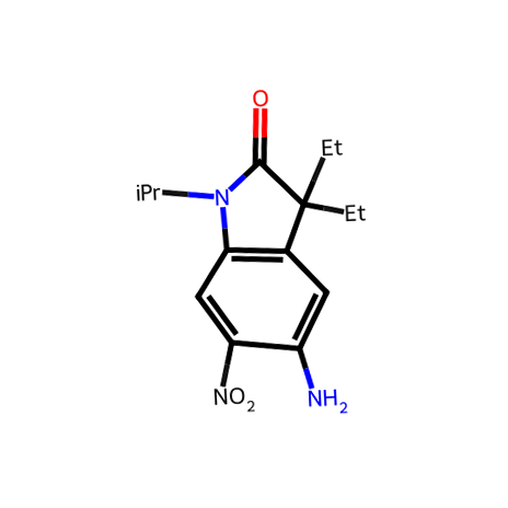 CCC1(CC)C(=O)N(C(C)C)c2cc([N+](=O)[O-])c(N)cc21